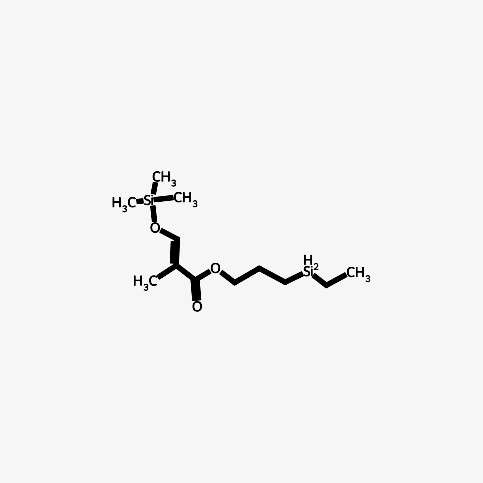 CC[SiH2]CCCOC(=O)C(C)=CO[Si](C)(C)C